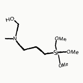 CO[Si](CCCN(C)CO)(OC)OC